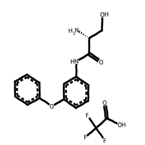 N[C@H](CO)C(=O)Nc1cccc(Oc2ccccc2)c1.O=C(O)C(F)(F)F